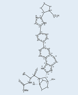 COC(=O)NC(C(=O)N1[C@@H]2CC[C@@H](C2)[C@H]1c1nc2ccc3cc(-c4ccc(-c5cnc(C6CCCN6C(=O)O)[nH]5)cc4)ccc3c2[nH]1)C(C)C